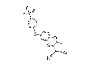 CC(Oc1ccc(Sc2ccc(C(F)(F)F)cc2)cc1)C(=S)C(C#N)C#N